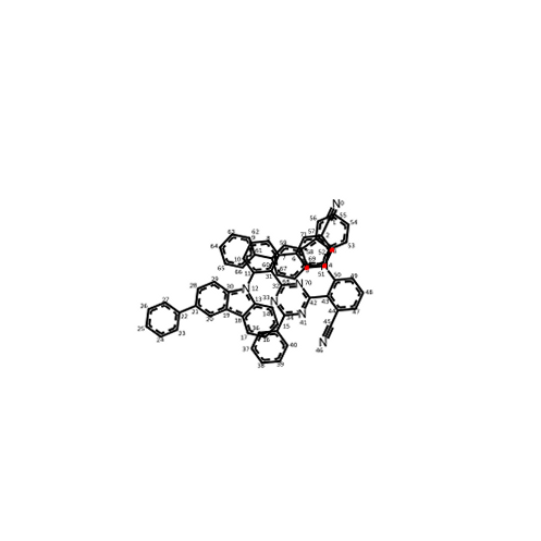 N#Cc1cccc(-c2cccc(-n3c4ccccc4c4cc(-c5ccccc5)ccc43)c2-c2nc(-c3ccccc3)nc(-c3c(C#N)cccc3-n3c4ccccc4c4cc(-c5ccccc5)ccc43)n2)c1